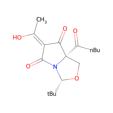 CCCCC(=O)[C@]12CO[C@H](C(C)(C)C)N1C(=O)/C(=C(/C)O)C2=O